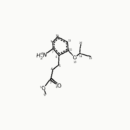 COC(=O)CCc1c(N)cccc1OC(C)C